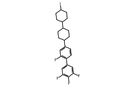 Fc1cc(C2CCC(C3CCC(I)CC3)CC2)ccc1-c1cc(F)c(F)c(F)c1